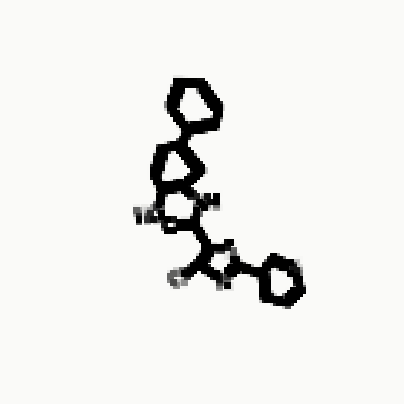 O=C(Nc1cc(-c2ccccc2)ccc1O)c1sc(-c2cccnc2)nc1Cl